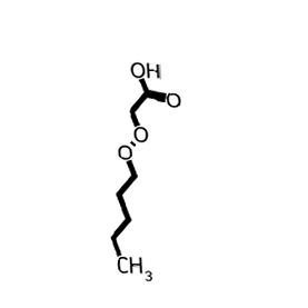 CCCCCOOCC(=O)O